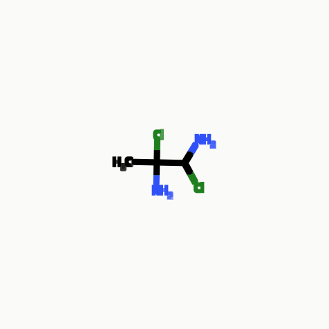 CC(N)(Cl)C(N)Cl